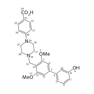 COc1cc(-c2cccc(O)c2)cc(OC)c1CN1CCN(c2ccc(C(=O)O)cc2)CC1